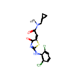 CCCN(CC1CC1)C(=O)/C=C1/SC(Nc2c(Cl)cccc2Cl)=NC1=O